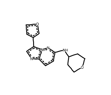 c1cc(-c2cnc3ccc(NC4CCOCC4)nn23)co1